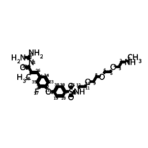 CNCCOCCOCCOCCNS(=O)(=O)c1ccc(Oc2ccc(/C=C(\C)C(=O)N=C(N)N)cc2F)cc1